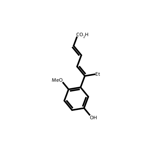 CCC(=CC=CC(=O)O)c1cc(O)ccc1OC